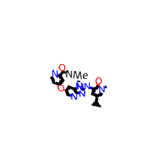 CNC(=O)c1cc(Oc2cnc3nc(Nc4cc(C5CC5)cn(C)c4=O)n(C)c3c2)ccn1